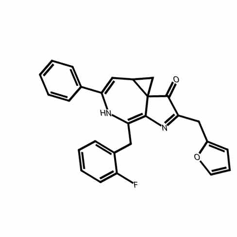 O=C1C(Cc2ccco2)=NC2=C(Cc3ccccc3F)NC(c3ccccc3)=CC3CC123